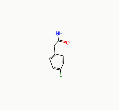 [NH]C(=O)Cc1ccc(F)cc1